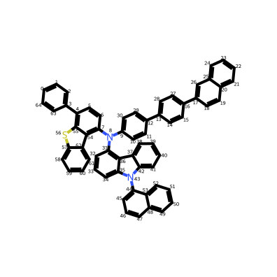 c1ccc(-c2ccc(N(c3ccc(-c4ccc(-c5ccc6ccccc6c5)cc4)cc3)c3cccc4c3c3ccccc3n4-c3cccc4ccccc34)c3c2sc2ccccc23)cc1